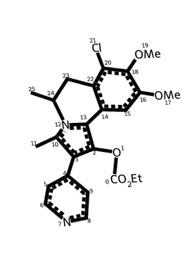 CCOC(=O)Oc1c(-c2ccncc2)c(C)n2c1-c1cc(OC)c(OC)c(Cl)c1CC2C